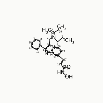 CCCN(Cc1c(-c2ccccc2)nc2cc(C=CC(=O)NO)ccn12)C(C)CC